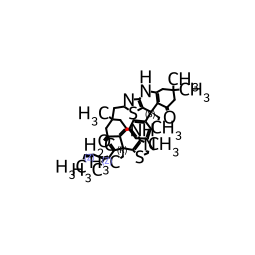 C=C(/C=C(C)\C=C/C)[C@]1(CC)C2=C(CC(C)(Cc3nc4c(s3)[C@@](CC)(c3cccc(C)c3)C3=C(CC(C)(C)CC3=O)N4)CC2=O)Nc2ncsc21